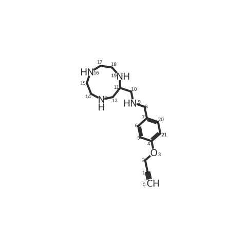 C#CCOc1ccc(CNCC2CNCCNCCN2)cc1